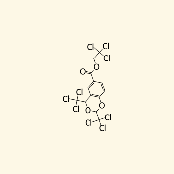 O=C(OCC(Cl)(Cl)Cl)c1ccc2c(c1)C(C(Cl)(Cl)Cl)OC(C(Cl)(Cl)Cl)O2